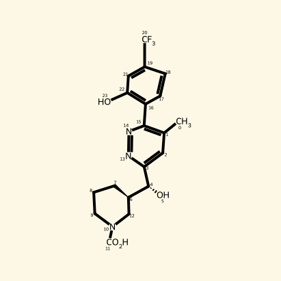 Cc1cc([C@H](O)[C@@H]2CCCN(C(=O)O)C2)nnc1-c1ccc(C(F)(F)F)cc1O